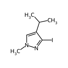 CC(C)c1cn(C)nc1I